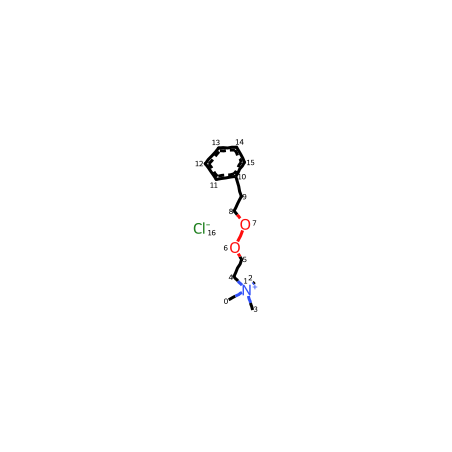 C[N+](C)(C)CCOOCCc1ccccc1.[Cl-]